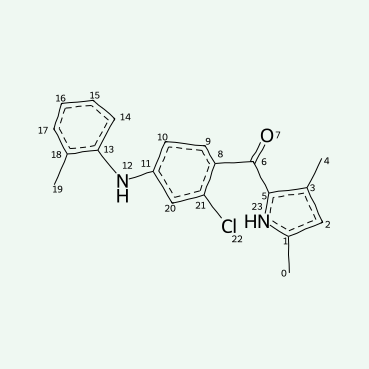 Cc1cc(C)c(C(=O)c2ccc(Nc3ccccc3C)cc2Cl)[nH]1